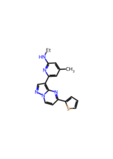 CCNc1cc(C)cc(-c2cnn3ccc(-c4cccs4)nc23)n1